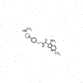 CN[C@H]1CCN(c2ccc(CCNC(=O)c3sc4nc(C)ccc4c3N)cc2)C1